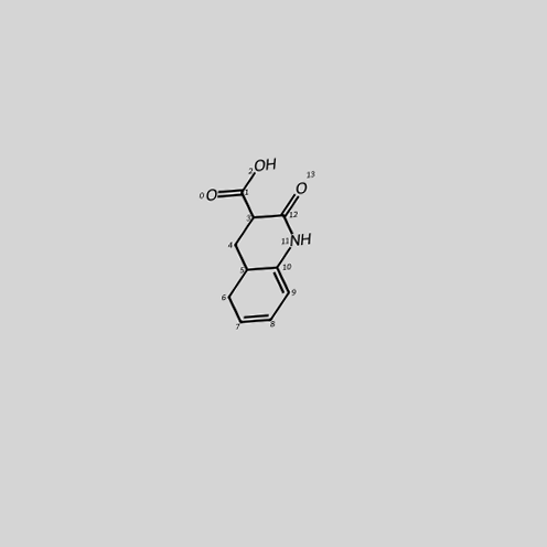 O=C(O)C1CC2CC=CC=C2NC1=O